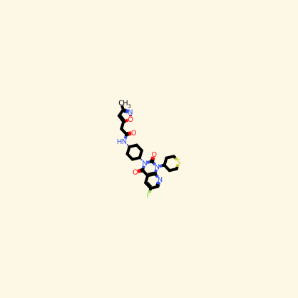 Cc1cc(CC(=O)N[C@H]2CC[C@@H](n3c(=O)c4cc(F)cnc4n(C4CCSCC4)c3=O)CC2)on1